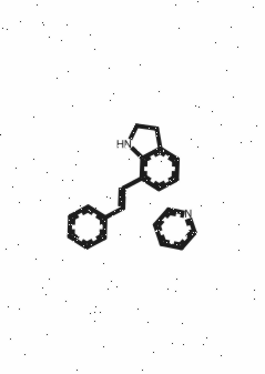 C(=Cc1cccc2c1NCC2)c1ccccc1.c1ccncc1